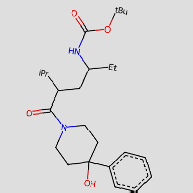 CCC(CC(C(=O)N1CCC(O)(c2ccccc2)CC1)C(C)C)NC(=O)OC(C)(C)C